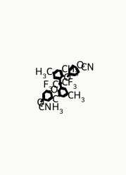 Cc1cc(C)c(Oc2ccc(OC#N)cc2)c(C(c2cc(C)cc(C)c2Oc2ccc(OC#N)cc2)(C(F)(F)F)C(F)(F)F)c1